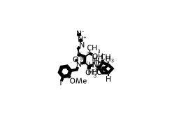 COc1c(I)cccc1CN1O[C@@H](CN=[N+]=[N-])[C@@H]([C@H](C)O)[C@H]1C(=O)N[C@H]1C[C@H]2C[C@@H]([C@@H]1C)C2(C)C